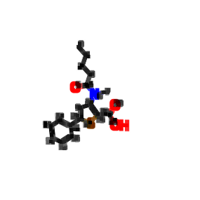 CCCCC(=O)N(C)c1cc(-c2ccccc2)sc1C(=O)O